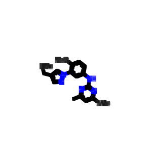 CNCc1cnn(-c2cc(Nc3nc(C)cc(NC)n3)ccc2OC)c1